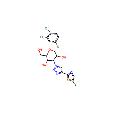 OCC1O[C@H](Sc2ccc(Cl)c(Cl)c2)C(O)C(n2cc(-c3ncc(F)s3)nn2)[C@H]1O